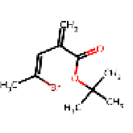 C=C(C=C(C)Br)C(=O)OC(C)(C)C